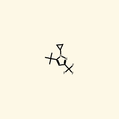 CC(C)(C)c1cc(C(F)(F)F)nn1C1CC1